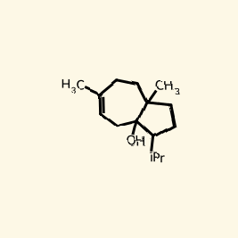 CC1=CCC2(O)C(C(C)C)CCC2(C)CC1